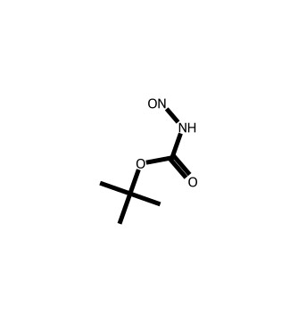 CC(C)(C)OC(=O)NN=O